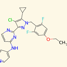 CCOc1cc(F)c(Cn2nc(-c3nccc(Nc4ccncc4)n3)c(Cl)c2C2CC2)c(F)c1